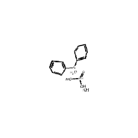 O.O=[PH](O)O.[KH].c1ccc(Sc2ccccc2)cc1